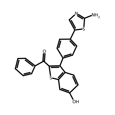 Nc1ncc(-c2ccc(-c3c(C(=O)c4ccccc4)sc4cc(O)ccc34)cc2)s1